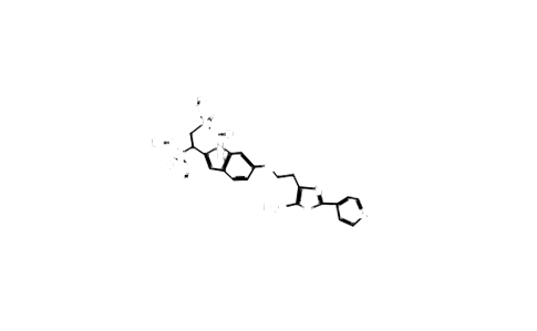 CCOP(=O)(CC(c1cc2ccc(OCCc3nc(-c4ccncc4)oc3C)cc2[nH]1)P(=O)(OCC)OCC)OCC